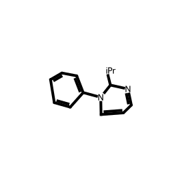 CC(C)C1N=CC=CN1c1ccccc1